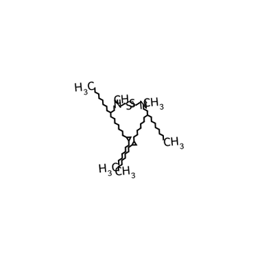 CCCCCCCCCC(CCCCCCCC1CC1CCCCCCCC)CCN(C)CCSSCCN(C)CCC(CCCCCCCCC)CCCCCCCC1CC1CCCCCCCC